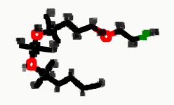 CCCC[Si](C)(C)O[Si](C)(C)O[Si](C)(C)CCCOCCF